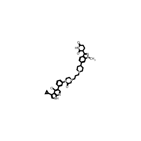 Cn1nc(C2CCC(=O)NC2=O)c2ccc(C3CCN(CCCN4CCN(c5cccc(-c6cnc7[nH]cc(C8CC8)c7c6Cl)c5)C(=O)C4)CC3)cc21